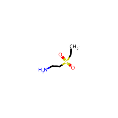 [CH2]CS(=O)(=O)CCN